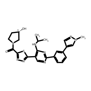 CC(C)Nc1nc(-c2cccc(-c3cnn(C)c3)c2)ncc1-c1nnc(C(=O)N2CC[C@H](O)C2)s1